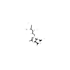 Cc1cn(C[C@H](O)[C@H](O)[C@H](O)CO)c2nc(=O)[nH]c(=O)c-2n1